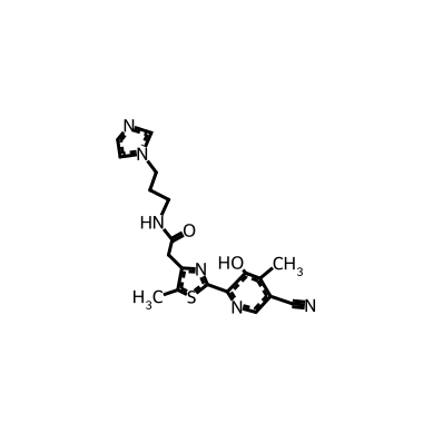 Cc1sc(-c2ncc(C#N)c(C)c2O)nc1CC(=O)NCCCn1ccnc1